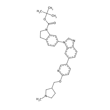 CN1CCC(COc2ccc(-c3ccc4ncn(-c5ccc6c(c5)N(C(=O)OC(C)(C)C)CC6)c4c3)cn2)C1